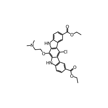 CCOC(=O)c1ccc2[nH]c3c(OCCN(C)C)c4[nH]c5ccc(C(=O)OCC)cc5c4c(Cl)c3c2c1